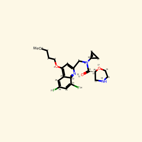 COCCCOc1cc(CN(C(=O)[C@H]2CNCCO2)C2=CC2)nc2c(F)cc(F)cc12